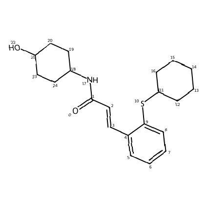 O=C(C=Cc1ccccc1SC1CCCCC1)NC1CCC(O)CC1